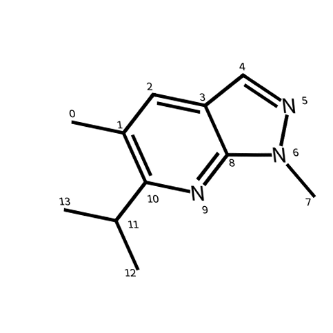 Cc1cc2cnn(C)c2nc1C(C)C